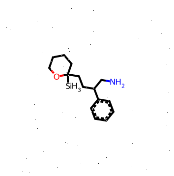 NCC(CCC1([SiH3])CCCCO1)c1ccccc1